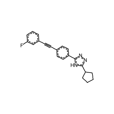 Fc1cccc(C#Cc2ccc(-c3nnc(C4CCCC4)[nH]3)cc2)c1